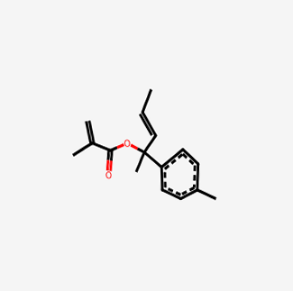 C=C(C)C(=O)OC(C)(/C=C/C)c1ccc(C)cc1